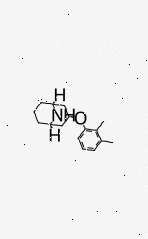 Cc1cccc(O[C@@H]2C[C@H]3CCC[C@@H](C2)N3)c1C